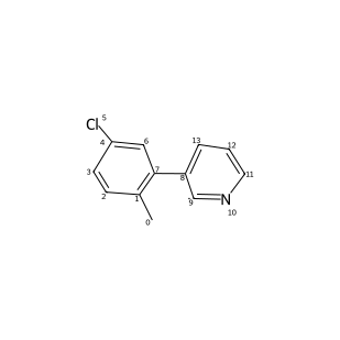 Cc1ccc(Cl)cc1-c1[c]nccc1